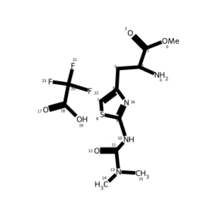 COC(=O)C(N)Cc1csc(NC(=O)N(C)C)n1.O=C(O)C(F)(F)F